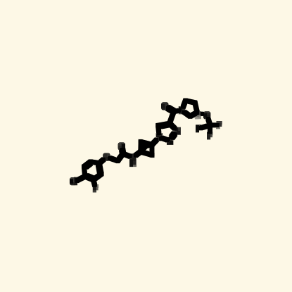 O=C(COc1ccc(Cl)c(F)c1)NC12CC(n3cc(C(=O)N4CC[C@H](OC(F)(F)F)C4)nn3)(C1)C2